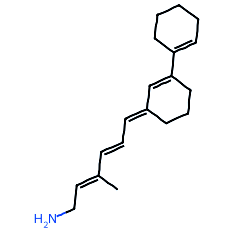 CC(/C=C/C=C1/C=C(C2=CCCCC2)CCC1)=C\CN